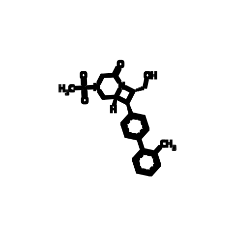 Cc1ccccc1-c1ccc([C@@H]2[C@@H](CO)N3C(=O)CN(S(C)(=O)=O)C[C@@H]23)cc1